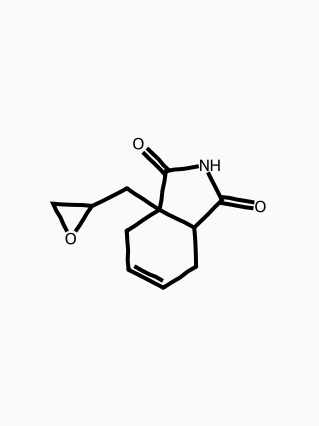 O=C1NC(=O)C2(CC3CO3)CC=CCC12